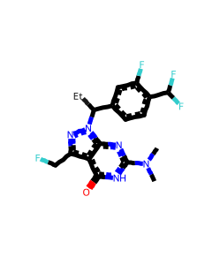 CCC(c1ccc(C(F)F)c(F)c1)n1nc(CF)c2c(=O)[nH]c(N(C)C)nc21